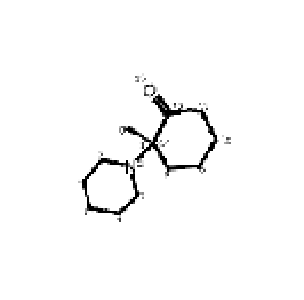 C[C@]1(N2CCCCC2)CCCCC1=O